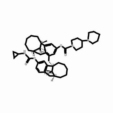 C[C@@]12CCCCC[C@@H](Cc3c(C[C@@]45CCCCC[C@@H](Cc6ccc(OC(=O)NC7CC7)cc64)[C@@H]5N)cc(OC(=O)N4CCC(N5CCCCC5)CC4)cc31)[C@@H]2N